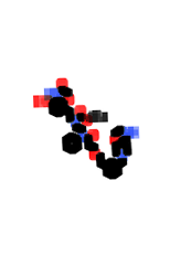 CC(C)(C)OC(=O)N(CCc1ccc(O)c2c1OCC(=O)N2)CCN(C(=O)CCOCCc1cccc(CN2CCC3(CC2)CNCCO3)c1)C1CCCCC1